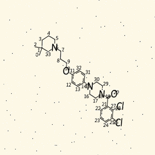 CC1(C)CCCN(CCCOc2ccc(N3CCN(C(=O)c4cccc(Cl)c4Cl)CC3)cc2)C1